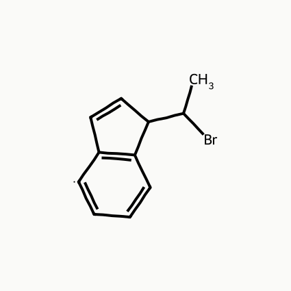 CC(Br)C1C=Cc2[c]cccc21